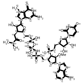 CO[C@@H]1[C@H](P(=O)([O-])OC[C@H]2O[C@@H](n3ccc(=O)[nH]c3=O)[C@H](O)[C@@H]2O)[C@@H](COP(=O)(O)NP(=O)(O)OP(=O)(O)OC[C@H]2OC(n3c[n+](C)c4c(=O)[nH]c(N)nc43)[C@H](O)[C@@H]2CC(=O)N(C)C)O[C@H]1n1cnc2c(N)ncnc21